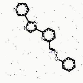 C(=N\Oc1ccccc1)/c1cccc(-c2cnc(-c3cccnc3)s2)n1